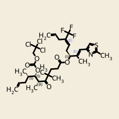 C=CC/C(=C\C[C@H](OC(=O)CCC(C)(C)C(=O)[C@H](C)[C@@H](OC(=O)OCC(Cl)(Cl)Cl)[C@@H](C)CC=C)/C(C)=C/c1csc(C)n1)C(F)(F)F